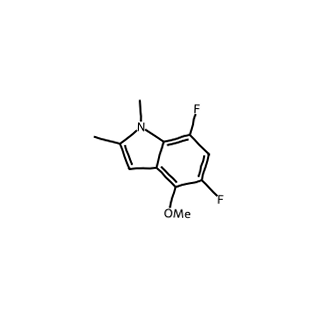 COc1c(F)cc(F)c2c1cc(C)n2C